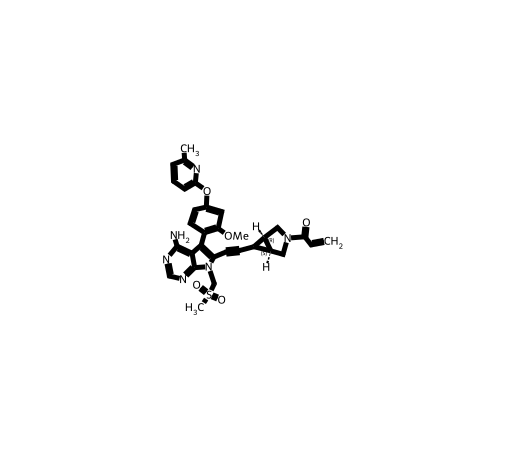 C=CC(=O)N1C[C@@H]2C(C#Cc3c(-c4ccc(Oc5cccc(C)n5)cc4OC)c4c(N)ncnc4n3CS(C)(=O)=O)[C@@H]2C1